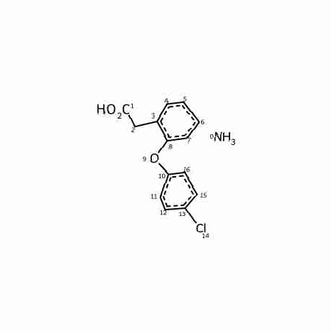 N.O=C(O)Cc1ccccc1Oc1ccc(Cl)cc1